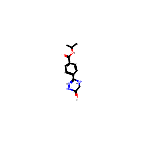 CC(C)OC(=O)c1ccc(C2=NNC(=O)CN2)cc1